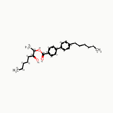 CCCCCCc1ccc(-c2ccc(C(=O)OC(C)C(=O)CCCCC)cc2)cc1